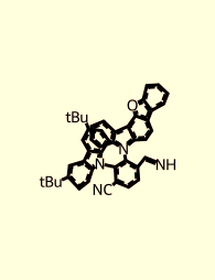 CC(C)(C)c1ccc2c(c1)c1cc(C(C)(C)C)ccc1n2-c1c(C#N)ccc(C=N)c1-n1c2ccccc2c2c3oc4ccccc4c3ccc21